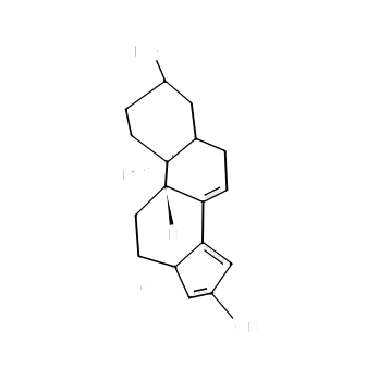 C[C@@]12C=C(O)C=C1C1=CCC3CC(O)CC[C@@H]3[C@H]1CC2